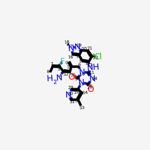 C=C(/C=C(N)\C(F)=C/C)Cn1c(Nc2cc3cn(C)nc3cc2Cl)nc(=O)n(-c2cncc(C)c2)c1=O